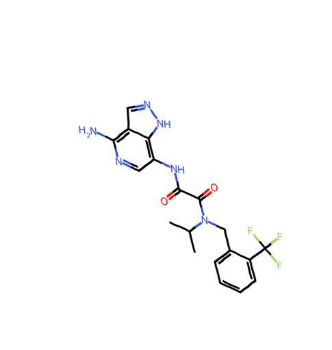 CC(C)N(Cc1ccccc1C(F)(F)F)C(=O)C(=O)Nc1cnc(N)c2cn[nH]c12